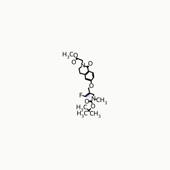 COC(=O)CN1CCc2cc(OC/C(=C\F)CN(C)C(=O)OC(C)(C)C)ccc2C1=O